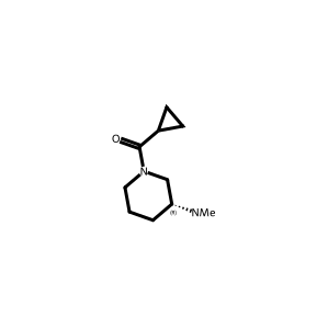 CN[C@@H]1CCCN(C(=O)C2CC2)C1